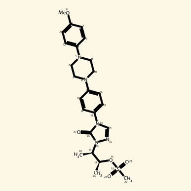 COc1ccc(N2CCN(c3ccc(-n4cnn([C@H](C)[C@H](C)OS(C)(=O)=O)c4=O)cc3)CC2)cc1